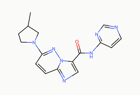 CC1CCN(c2ccc3ncc(C(=O)Nc4ccncn4)n3n2)C1